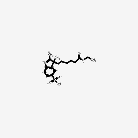 CCOC(=O)CCCCCC1(C)C(C)=Nc2ccc(S(=O)(=O)O)cc21